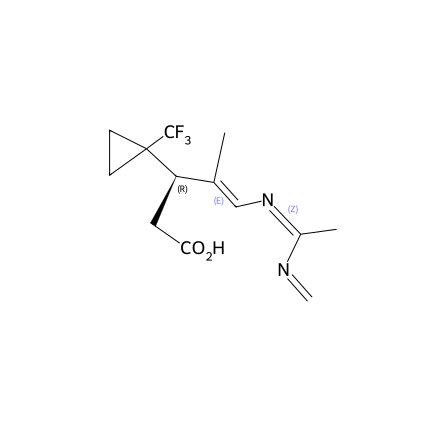 C=N/C(C)=N\C=C(/C)[C@@H](CC(=O)O)C1(C(F)(F)F)CC1